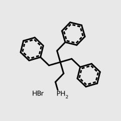 Br.PCCC(Cc1ccccc1)(Cc1ccccc1)Cc1ccccc1